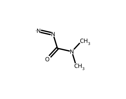 CN(C)C(=O)N=[N]